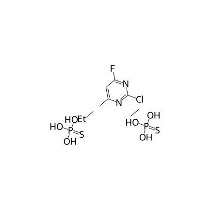 CC.CCC.Cc1cc(F)nc(Cl)n1.OP(O)(O)=S.OP(O)(O)=S